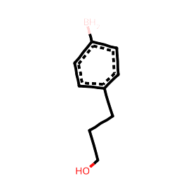 Bc1ccc(CCCO)cc1